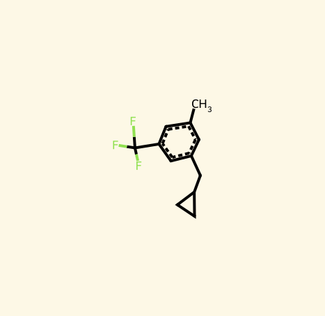 Cc1cc(CC2CC2)cc(C(F)(F)F)c1